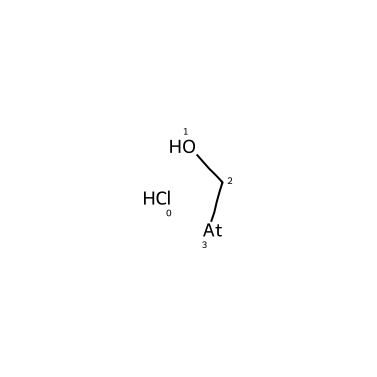 Cl.OC[At]